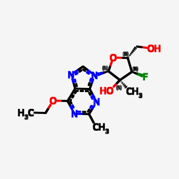 CCOc1nc(C)nc2c1ncn2[C@H]1O[C@H](CO)[C@@H](F)[C@@]1(C)O